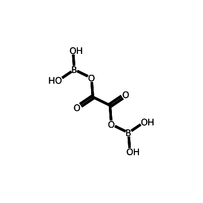 O=C(OB(O)O)C(=O)OB(O)O